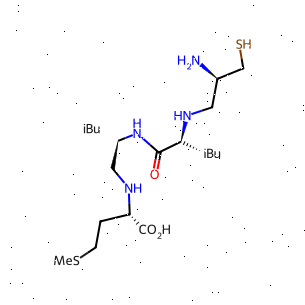 CC[C@H](C)[C@H](CN[C@@H](CCSC)C(=O)O)NC(=O)[C@@H](NC[C@@H](N)CS)[C@@H](C)CC